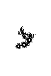 CCOC(=O)C1CCN(c2nc(Oc3ccc(C4CCCC4)cc3)ccc2[N+](=O)[O-])CC1